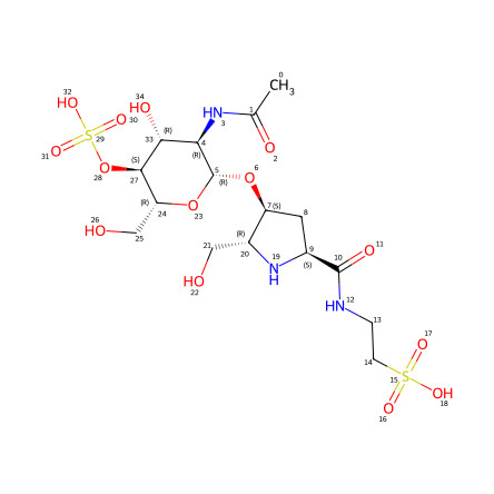 CC(=O)N[C@H]1[C@H](O[C@H]2C[C@@H](C(=O)NCCS(=O)(=O)O)N[C@@H]2CO)O[C@H](CO)[C@@H](OS(=O)(=O)O)[C@@H]1O